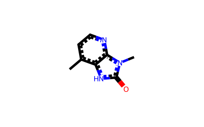 Cc1ccnc2c1[nH]c(=O)n2C